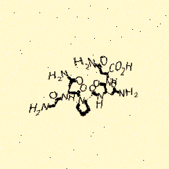 NCC(=O)N[C@@H](CC(N)=O)C(=O)N1CCC[C@H]1C(=O)N[C@@H](CC(N)=O)C(=O)N[C@@H](CC(N)=O)C(=O)O